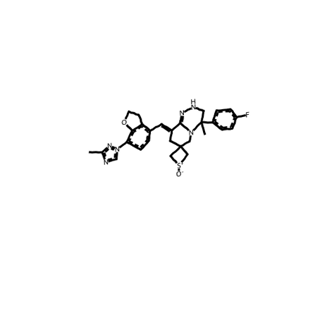 Cc1ncn(-c2ccc(/C=C3\CC4(CN5C3=NNCC5(C)c3ccc(F)cc3)C[S+]([O-])C4)c3c2OCC3)n1